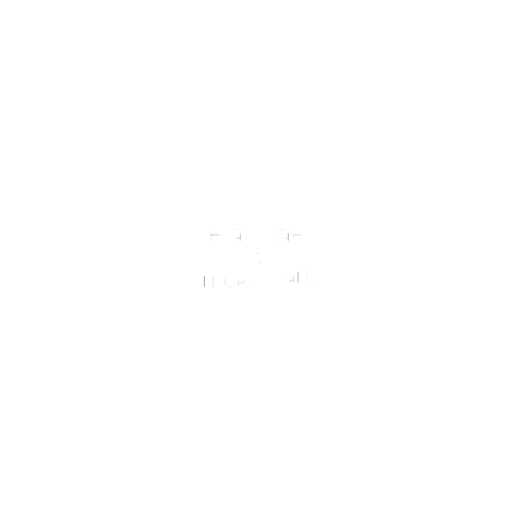 [SiH3][Si]([SiH3])([SiH3])[GeH3]